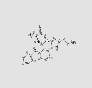 CC(C)CCn1cc(-c2cc(=O)n(C)nc2-c2ccccc2Oc2ccccc2)cn1